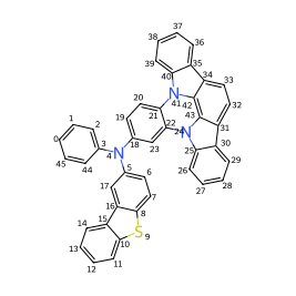 c1ccc(N(c2ccc3sc4ccccc4c3c2)c2ccc3c(c2)n2c4ccccc4c4ccc5c6ccccc6n3c5c42)cc1